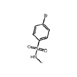 [CH2]NS(=O)(=O)c1ccc(Br)cc1